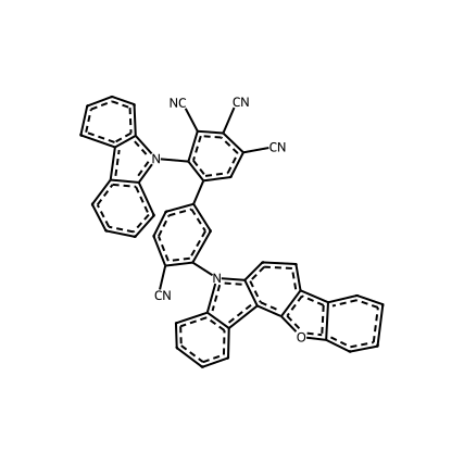 N#Cc1ccc(-c2cc(C#N)c(C#N)c(C#N)c2-n2c3ccccc3c3ccccc32)cc1-n1c2ccccc2c2c3oc4ccccc4c3ccc21